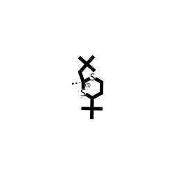 CC(C)(C)C[C@@]1(C)SCCC(C(C)(C)C)S1